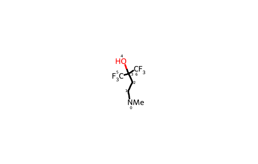 CNCCC(O)(C(F)(F)F)C(F)(F)F